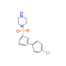 O=S(=O)(c1cccc(-c2ccc(Cl)cc2)c1)N1CCNCC1